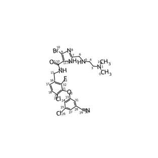 CN(C)CCNCc1nc(Br)c(C(=O)NCc2ccc(Cl)c(Oc3cc(Cl)cc(C#N)c3)c2F)[nH]1